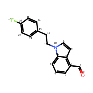 O=Cc1cccc2c1ccn2CCc1ccc(F)cc1